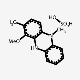 COc1c(C)ccc2c1Nc1ccccc1N2C.O=S(=O)(O)O